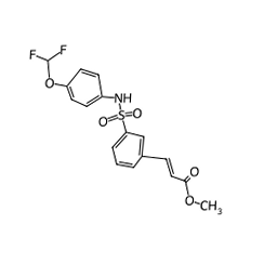 COC(=O)/C=C/c1cccc(S(=O)(=O)Nc2ccc(OC(F)F)cc2)c1